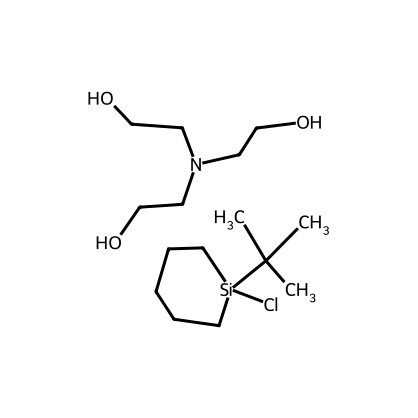 CC(C)(C)[Si]1(Cl)CCCCC1.OCCN(CCO)CCO